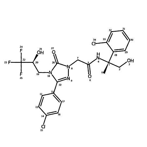 C[C@@](CO)(NC(=O)Cn1nc(-c2ccc(Cl)cc2)n(C[C@H](O)C(F)(F)F)c1=O)c1ccccc1Cl